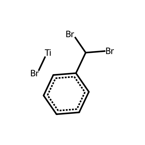 BrC(Br)c1ccccc1.[Ti][Br]